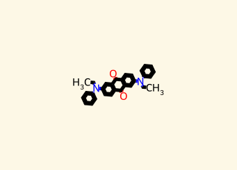 CCN(c1ccccc1)c1ccc2c(c1)C(=O)c1ccc(N(CC)c3ccccc3)cc1C2=O